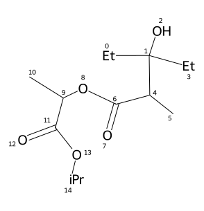 CCC(O)(CC)C(C)C(=O)OC(C)C(=O)OC(C)C